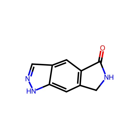 O=C1NCc2cc3[nH]ncc3cc21